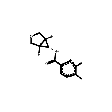 Cc1ccc(C(=O)N[C@@H]2[C@@H]3COC[C@@H]32)nc1C